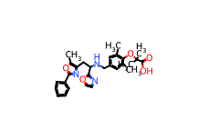 Cc1cc(CNC(Cc2nc(-c3ccccc3)oc2C)c2ncco2)cc(C)c1OC(C)(C)C(=O)O